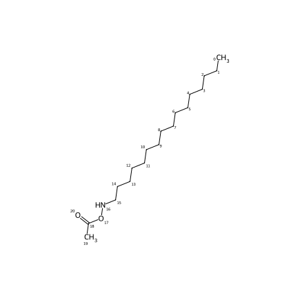 CCCCCCCCCCCCCCCCNOC(C)=O